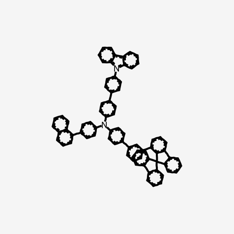 c1cc(-c2ccc(N(c3ccc(-c4ccc(-n5c6ccccc6c6ccccc65)cc4)cc3)c3ccc(-c4cccc5ccccc45)cc3)cc2)cc(-c2cccc3c2C2(c4ccccc4-c4ccccc42)c2ccccc2-3)c1